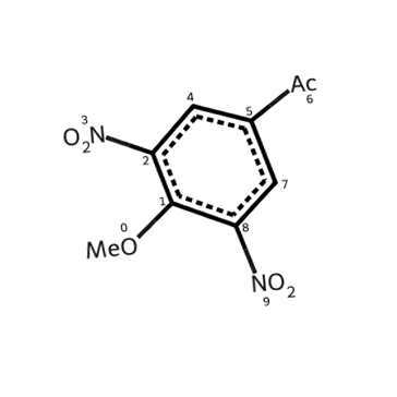 COc1c([N+](=O)[O-])cc(C(C)=O)cc1[N+](=O)[O-]